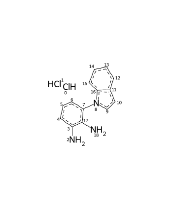 Cl.Cl.Nc1cccc(-n2ccc3ccccc32)c1N